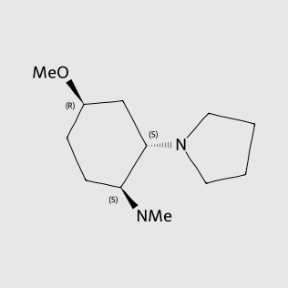 CN[C@H]1CC[C@@H](OC)C[C@@H]1N1CCCC1